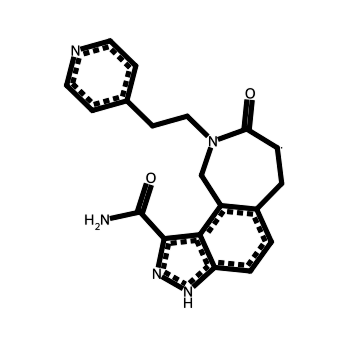 NC(=O)c1n[nH]c2ccc3c(c12)CN(CCc1ccncc1)C(=O)[CH]C3